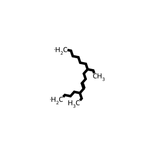 [CH2]CCCCCC(CC)CCC=CC(CC)CCC[CH2]